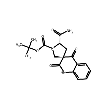 CC(C)(C)OC(=O)N1C[C@]2(C[C@H]1C(N)=O)C(=O)Nc1ccccc1C2=O